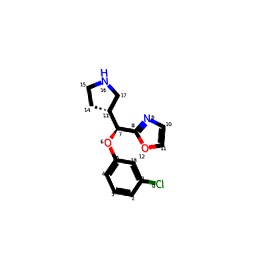 Clc1cccc(O[C@H](c2ncco2)[C@@H]2CCNC2)c1